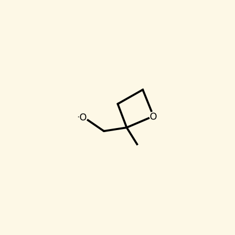 CC1(C[O])CCO1